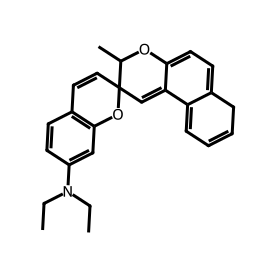 CCN(CC)c1ccc2c(c1)OC1(C=C2)C=c2c(ccc3c2=CC=CC3)OC1C